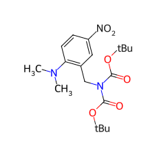 CN(C)c1ccc([N+](=O)[O-])cc1CN(C(=O)OC(C)(C)C)C(=O)OC(C)(C)C